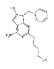 CSCCOc1nc(N)c2nc(O)n(Cc3ccccc3)c2n1